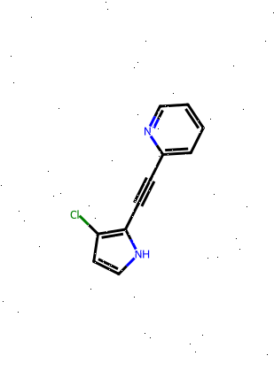 Clc1cc[nH]c1C#Cc1ccccn1